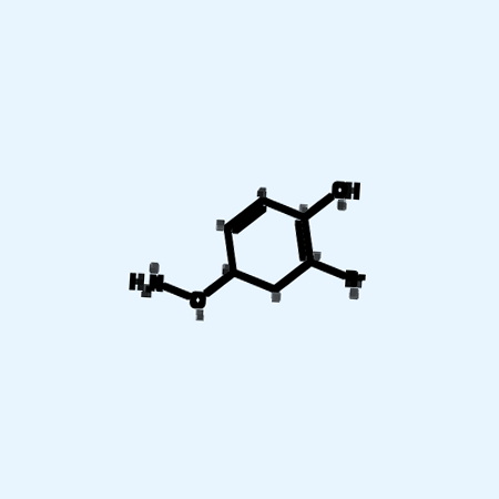 NOC1C=CC(O)=C(Br)C1